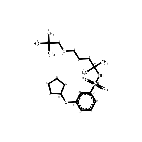 CC(C)(C)COCCCC(C)(C)NS(=O)(=O)c1cccc(OC2CCCC2)c1